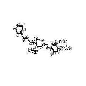 COc1cc(F)c(CCN2CCN(CCCc3ccccc3)CC2)cc1OC.Cl.Cl